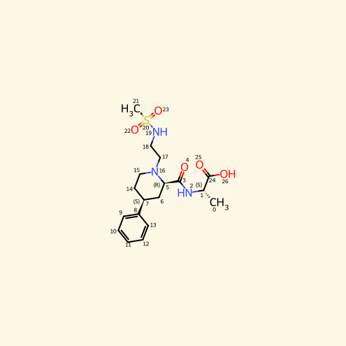 C[C@H](NC(=O)[C@H]1C[C@@H](c2ccccc2)CCN1CCNS(C)(=O)=O)C(=O)O